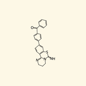 N=C1Sc2cc(-c3ccc(C(=O)c4ccccc4)cc3)ccc2C2=NCCCN12